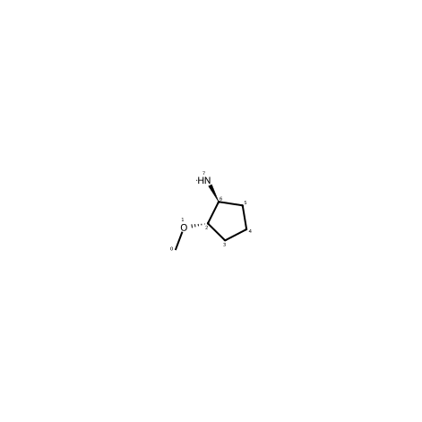 CO[C@H]1CCC[C@@H]1[NH]